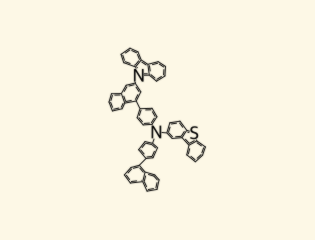 c1ccc2c(-c3ccc(N(c4ccc(-c5cc(-n6c7ccccc7c7ccccc76)cc6ccccc56)cc4)c4ccc5sc6ccccc6c5c4)cc3)cccc2c1